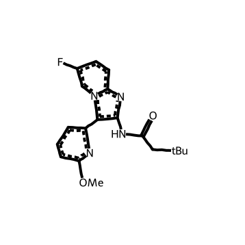 COc1cccc(-c2c(NC(=O)CC(C)(C)C)nc3ccc(F)cn23)n1